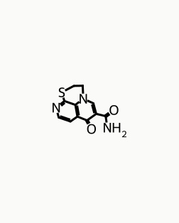 NC(=O)c1cn2c3c(nccc3c1=O)SCC2